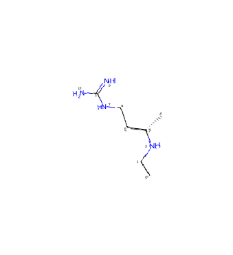 CCN[C@@H](C)CCNC(=N)N